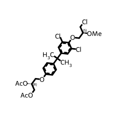 CO[C@H](CCl)COc1c(Cl)cc(C(C)(C)c2ccc(OC[C@H](COC(C)=O)OC(C)=O)cc2)cc1Cl